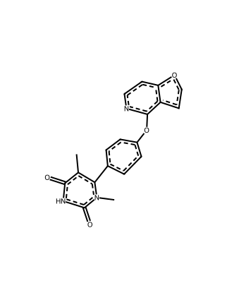 Cc1c(-c2ccc(Oc3nccc4occc34)cc2)n(C)c(=O)[nH]c1=O